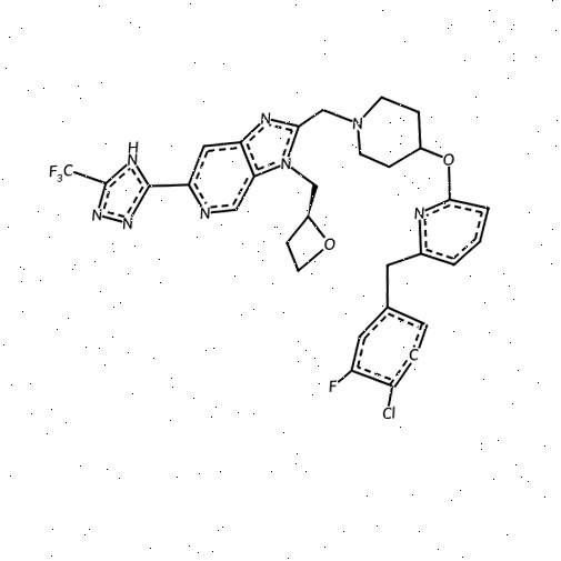 Fc1cc(Cc2cccc(OC3CCN(Cc4nc5cc(-c6nnc(C(F)(F)F)[nH]6)ncc5n4C[C@@H]4CCO4)CC3)n2)ccc1Cl